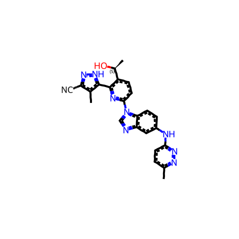 Cc1ccc(Nc2ccc3c(c2)ncn3-c2ccc([C@H](C)O)c(-c3[nH]nc(C#N)c3C)n2)nn1